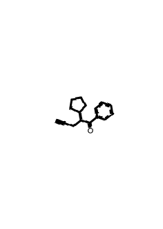 C#CCC(C(=O)c1ccccc1)C1CCCC1